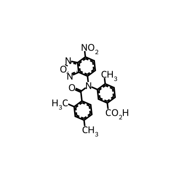 Cc1ccc(C(=O)N(c2cc(C(=O)O)ccc2C)c2ccc([N+](=O)[O-])c3nonc23)c(C)c1